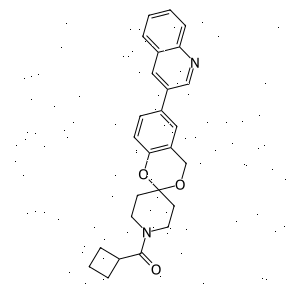 O=C(C1CCC1)N1CCC2(CC1)OCc1cc(-c3cnc4ccccc4c3)ccc1O2